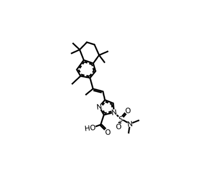 C/C(=C\c1cn(S(=O)(=O)N(C)C)c(C(=O)O)n1)c1cc2c(cc1C)C(C)(C)CCC2(C)C